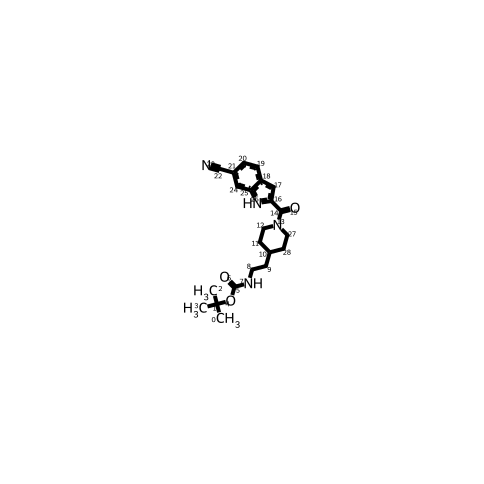 CC(C)(C)OC(=O)NCCC1CCN(C(=O)c2cc3ccc(C#N)cc3[nH]2)CC1